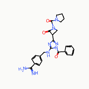 N=C(N)c1ccc(CNc2nc(C3CN(C(=O)N4CCCC4)C3=O)nn2C(=O)c2ccccc2)cc1